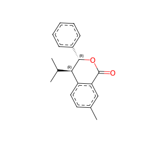 Cc1ccc2c(c1)C(=O)O[C@@H](c1ccccc1)[C@@H]2C(C)C